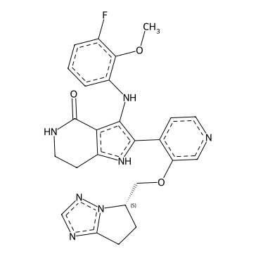 COc1c(F)cccc1Nc1c(-c2ccncc2OC[C@@H]2CCc3ncnn32)[nH]c2c1C(=O)NCC2